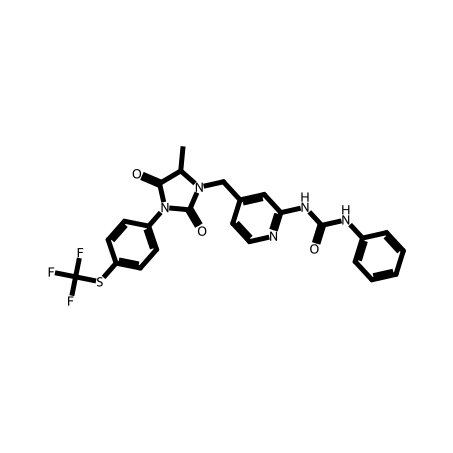 CC1C(=O)N(c2ccc(SC(F)(F)F)cc2)C(=O)N1Cc1ccnc(NC(=O)Nc2ccccc2)c1